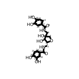 O=C(NC[C@H]1OC[C@@](O)(CNC(=O)c2ccc(O)c(O)c2)[C@@H]1O)c1ccc(O)c(O)c1